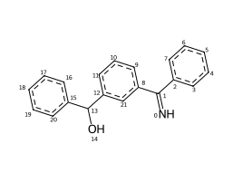 N=C(c1ccccc1)c1cccc(C(O)c2ccccc2)c1